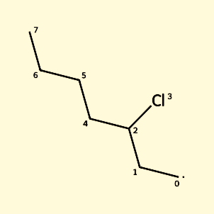 [CH2]CC(Cl)CCCC